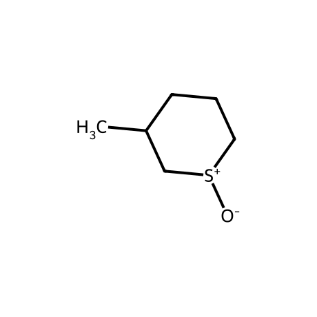 CC1CCC[S+]([O-])C1